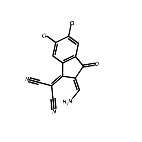 N#CC(C#N)=C1/C(=C\N)C(=O)c2cc(Cl)c(Cl)cc21